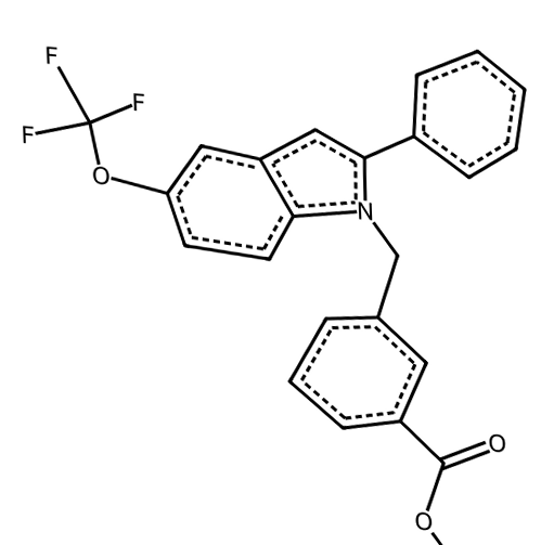 COC(=O)c1cccc(Cn2c(-c3ccccc3)cc3cc(OC(F)(F)F)ccc32)c1